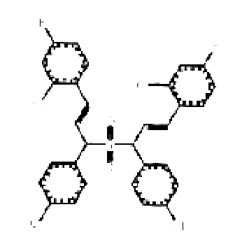 O=S(=O)(C(/C=C/c1ccc(F)cc1Cl)c1ccc(Cl)cc1)C(/C=C/c1ccc(F)cc1Cl)c1ccc(Cl)cc1